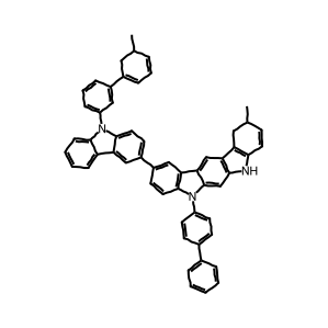 CC1C=CC=C(c2cccc(-n3c4ccccc4c4cc(-c5ccc6c(c5)c5cc7c8c([nH]c7cc5n6-c5ccc(-c6ccccc6)cc5)C=CC(C)C8)ccc43)c2)C1